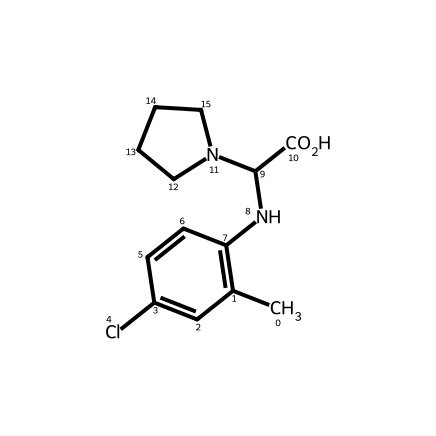 Cc1cc(Cl)ccc1NC(C(=O)O)N1CCCC1